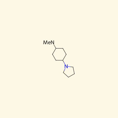 CNC1CCC(N2CCCC2)CC1